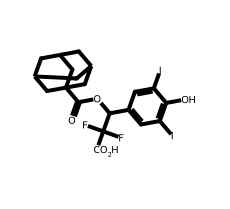 O=C(OC(c1cc(I)c(O)c(I)c1)C(F)(F)C(=O)O)C12CC3CC(CC(C3)C1)C2